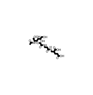 CC(=O)N[C@@H](C=O)[C@@H](OCC(=O)NCCC(=O)NCC(CCC(=O)O)C(=O)O)[C@H](O)[C@H](O)CO